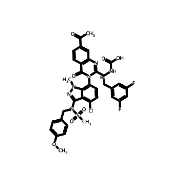 COc1ccc(CN(c2nn(C)c3c(-n4c([C@H](Cc5cc(F)cc(F)c5)NC(=O)O)nc5cc(C(C)=O)ccc5c4=O)ccc(Cl)c23)S(C)(=O)=O)cc1